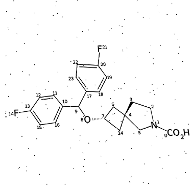 O=C(O)N1CC[C@]2(C1)C[C@@H](OC(c1ccc(F)cc1)c1ccc(F)cc1)C2